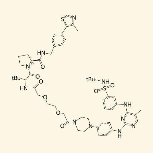 Cc1cnc(Nc2ccc(N3CCN(C(=O)COCCOCC(=O)NC(C(=O)N4CCC[C@H]4C(=O)NCc4ccc(-c5scnc5C)cc4)C(C)(C)C)CC3)cc2)nc1Nc1cccc(S(=O)(=O)NC(C)(C)C)c1